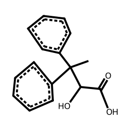 CC(c1ccccc1)(c1ccccc1)C(O)C(=O)O